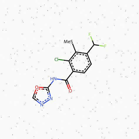 CSc1c(C(F)F)ccc(C(=O)Nc2nnco2)c1Cl